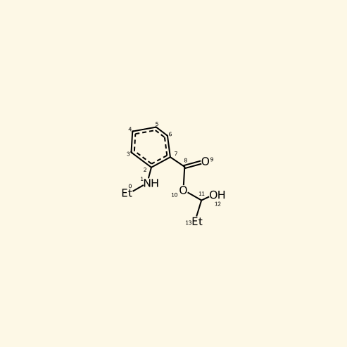 CCNc1ccccc1C(=O)OC(O)CC